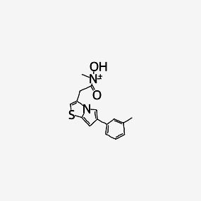 Cc1cccc(-c2cc3scc(CC(=O)[N+](C)(C)O)n3c2)c1